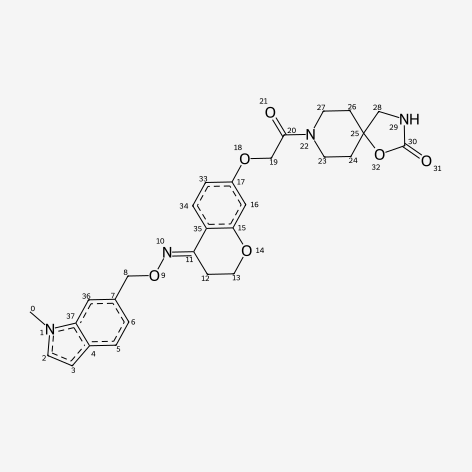 Cn1ccc2ccc(CON=C3CCOc4cc(OCC(=O)N5CCC6(CC5)CNC(=O)O6)ccc43)cc21